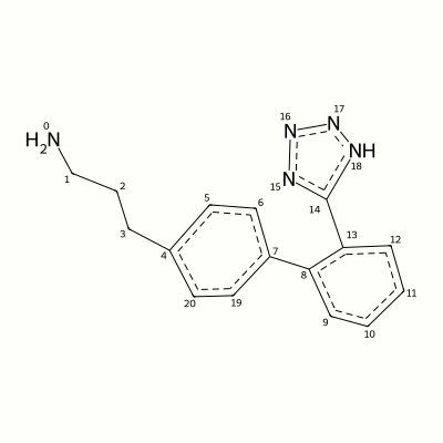 NCCCc1ccc(-c2ccccc2-c2nnn[nH]2)cc1